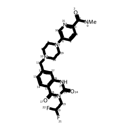 CNC(=O)c1ccc(N2CCN(Cc3ccc4c(=O)n(CC(F)F)c(=O)[nH]c4c3)CC2)cn1